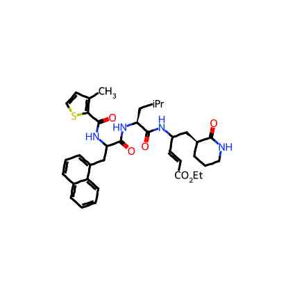 CCOC(=O)/C=C/C(C[C@@H]1CCCNC1=O)NC(=O)[C@H](CC(C)C)NC(=O)C(Cc1cccc2ccccc12)NC(=O)c1sccc1C